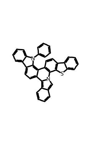 c1ccc(-n2c3ccccc3c3ccc4c(c5ccc6c7ccccc7sc6c5n5cc6ccccc6c45)c32)cc1